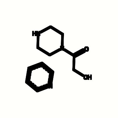 O=C(CO)N1CCNCC1.c1ccncc1